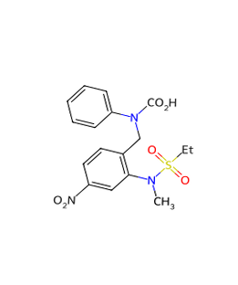 CCS(=O)(=O)N(C)c1cc([N+](=O)[O-])ccc1CN(C(=O)O)c1ccccc1